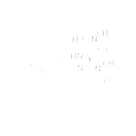 CN(C)C(=O)c1[nH]c(-c2ccc(Oc3ccccc3)cc2)nc1N(C)C=O